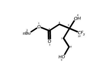 CCCCOC(=O)CC(O)(CCO)C(F)(F)F